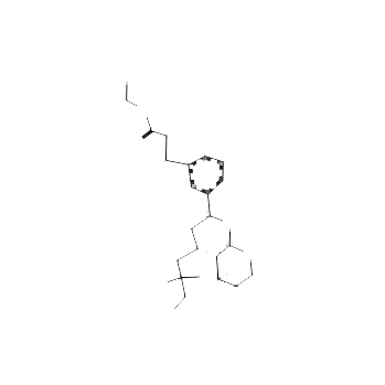 CCOC(=O)CCc1cccc(C(CCCC(C)(C)CS)OC2CCCCO2)c1